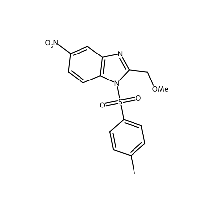 COCc1nc2cc([N+](=O)[O-])ccc2n1S(=O)(=O)c1ccc(C)cc1